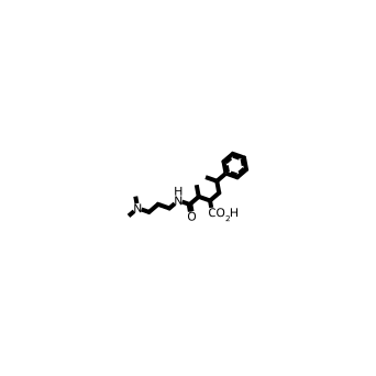 CC(CC(C(=O)O)C(C)C(=O)NCCCN(C)C)c1ccccc1